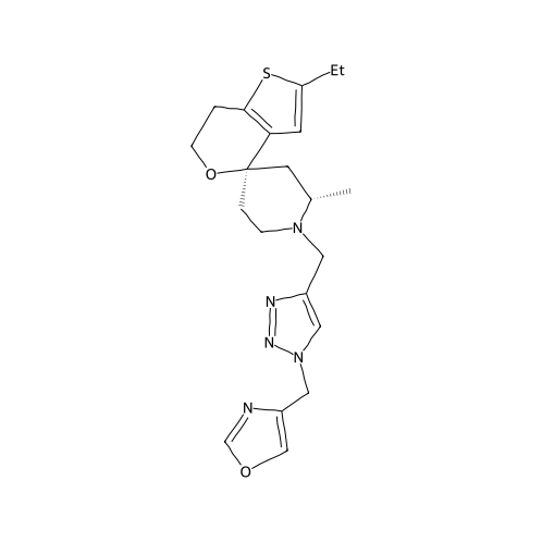 CCc1cc2c(s1)CCO[C@@]21CCN(Cc2cn(Cc3cocn3)nn2)[C@@H](C)C1